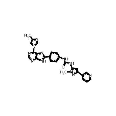 Cc1cn(-c2ncnc3[nH]c(-c4ccc(NC(=O)Nc5cc(-c6cccnc6)nn5C)cc4)nc23)cn1